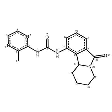 Cc1nccnc1NC(=O)Nc1cccc2c1C1CCCCN1C2=O